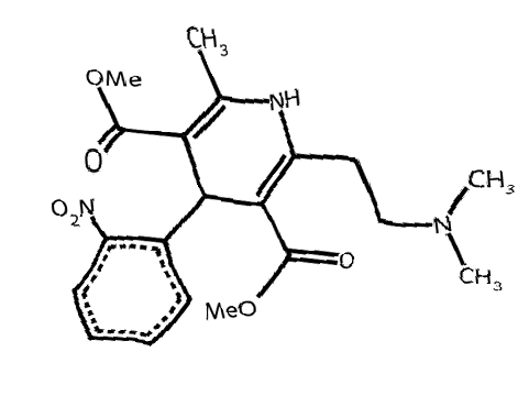 COC(=O)C1=C(C)NC(CCN(C)C)=C(C(=O)OC)C1c1ccccc1[N+](=O)[O-]